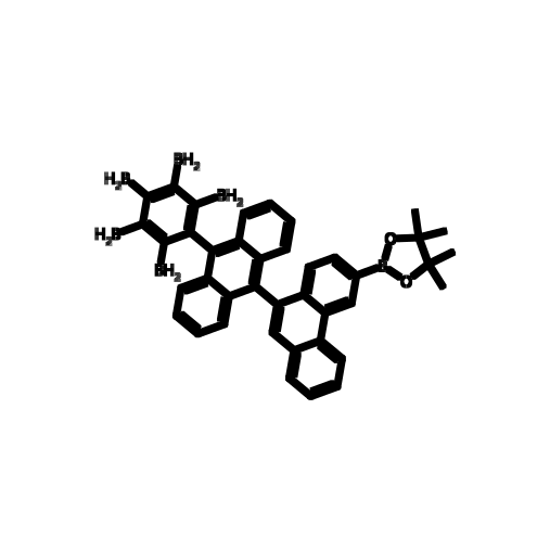 Bc1c(B)c(B)c(-c2c3ccccc3c(-c3cc4ccccc4c4cc(B5OC(C)(C)C(C)(C)O5)ccc34)c3ccccc23)c(B)c1B